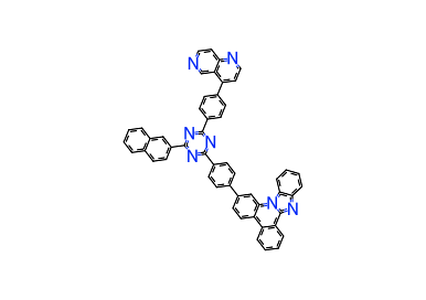 c1ccc2cc(-c3nc(-c4ccc(-c5ccc6c7ccccc7c7nc8ccccc8n7c6c5)cc4)nc(-c4ccc(-c5ccnc6ccncc56)cc4)n3)ccc2c1